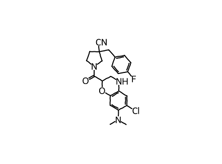 CN(C)c1cc2c(cc1Cl)NCC(C(=O)N1CCC(C#N)(Cc3ccc(F)cc3)C1)O2